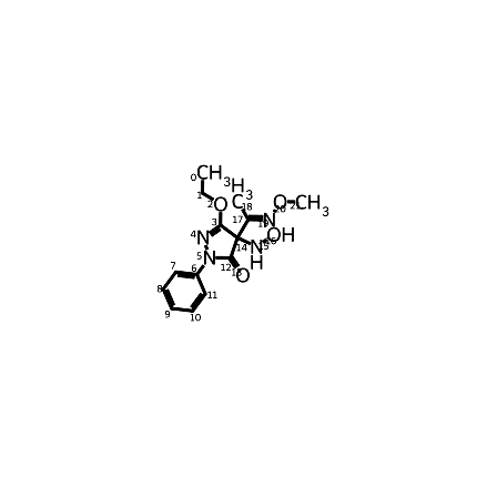 CCOC1=NN(c2ccccc2)C(=O)C1(NO)C(C)=NOC